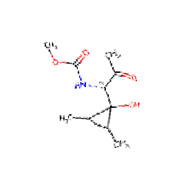 COC(=O)N[C@H](C(C)=O)C1(O)C(C)C1C